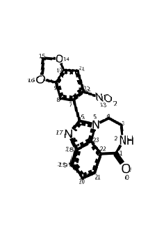 O=C1NCCn2c(-c3cc4c(cc3[N+](=O)[O-])OCO4)nc3cccc1c32